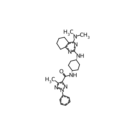 Cc1nn(-c2ccccc2)nc1C(=O)N[C@H]1CC[C@@H](Nc2nc3c(c(N(C)C)n2)CCCC3)CC1